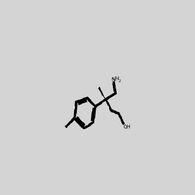 Cc1ccc([C@](C)(CN)CCO)cc1